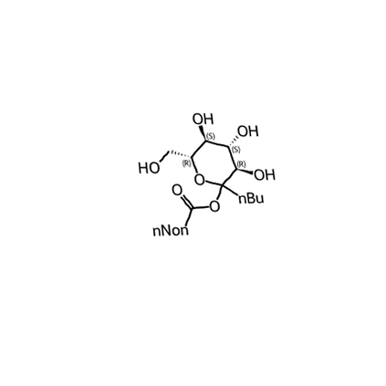 CCCCCCCCCC(=O)OC1(CCCC)O[C@H](CO)[C@@H](O)[C@H](O)[C@H]1O